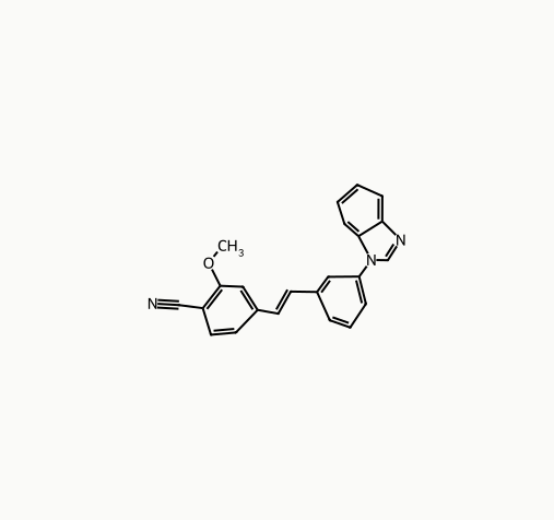 COc1cc(/C=C/c2cccc(-n3cnc4ccccc43)c2)ccc1C#N